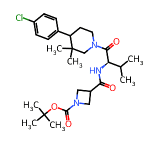 CC(C)[C@@H](NC(=O)C1CN(C(=O)OC(C)(C)C)C1)C(=O)N1CCC(c2ccc(Cl)cc2)C(C)(C)C1